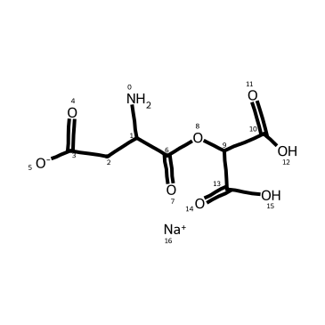 NC(CC(=O)[O-])C(=O)OC(C(=O)O)C(=O)O.[Na+]